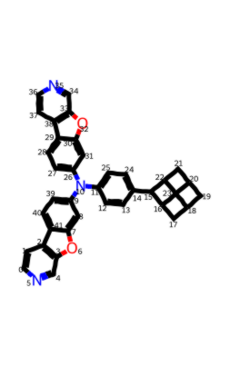 c1cc2c(cn1)oc1cc(N(c3ccc(C4C5CC6CC7CC4C675)cc3)c3ccc4c(c3)oc3cnccc34)ccc12